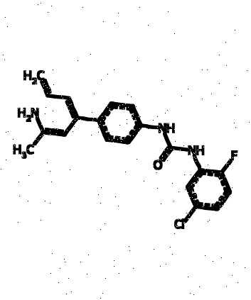 C=C/C=C(\C=C(\C)N)c1ccc(NC(=O)Nc2cc(Cl)ccc2F)cc1